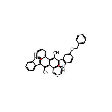 N#C/C(=C(/C(=C(/C#N)c1c[nH]c2ccc(OCc3ccccc3)cc12)c1cccnc1)c1cccnc1)c1c[nH]c2ccccc12